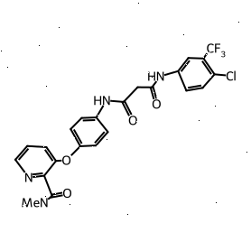 CNC(=O)c1ncccc1Oc1ccc(NC(=O)CC(=O)Nc2ccc(Cl)c(C(F)(F)F)c2)cc1